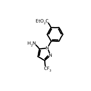 CCOC(=O)c1cccc(-n2nc(C(F)(F)F)cc2N)c1